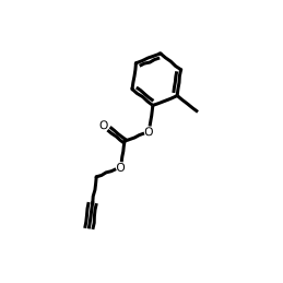 C#CCOC(=O)Oc1ccccc1C